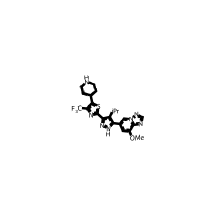 COc1cc(-c2[nH]nc(-c3nc(C(F)(F)F)c(C4CCNCC4)s3)c2C(C)C)cn2ncnc12